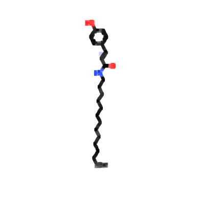 CCCCCCCCCCCCCCCCCCCCCCNC(=O)/C=C/c1ccc(O)cc1